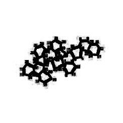 c1ccc(-c2cc3c(ccc4ccccc43)cc2-n2c3cccc4c5cccc6c7c8ccccc8c8ccccc8c7n(c7cccc2c7c43)c56)cc1